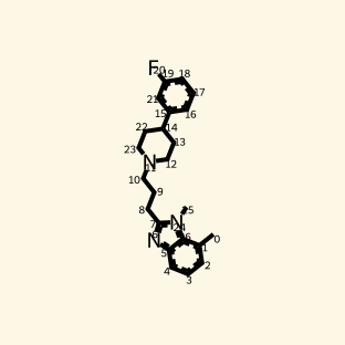 Cc1cccc2nc(CCCN3CCC(c4cccc(F)c4)CC3)n(C)c12